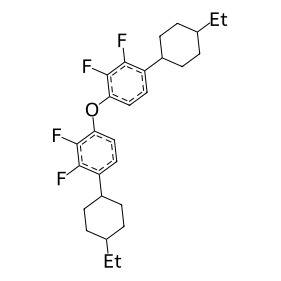 CCC1CCC(c2ccc(Oc3ccc(C4CCC(CC)CC4)c(F)c3F)c(F)c2F)CC1